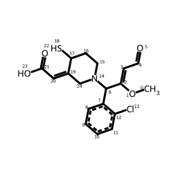 COC(=CC=O)C(c1ccccc1Cl)N1CCC(S)/C(=C\C(=O)O)C1